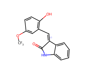 O=C1Nc2ccccc2/C1=C/c1cc(OC(F)(F)F)ccc1O